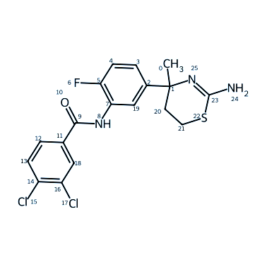 CC1(c2ccc(F)c(NC(=O)c3ccc(Cl)c(Cl)c3)c2)CCSC(N)=N1